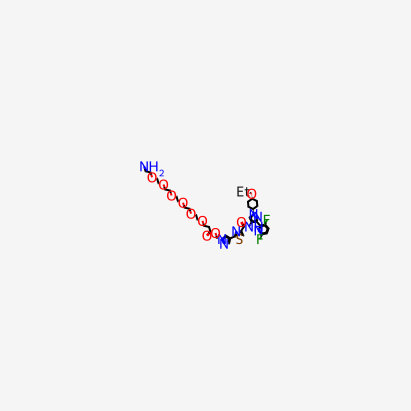 CCO[C@H]1CC[C@H](n2cc(NC(=O)c3csc(-c4cnn(COC(=O)CCOCCOCCOCCOCCOCCOCCN)c4)n3)c(-c3nc(F)ccc3F)n2)CC1